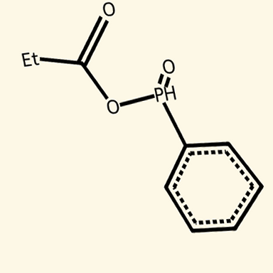 CCC(=O)O[PH](=O)c1ccccc1